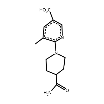 Cc1cc(C(=O)O)cnc1N1CCC(C(N)=O)CC1